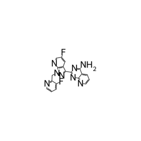 Nc1nc(-c2nn(Cc3ncccc3F)c3ncc(F)cc23)nc2ncccc12